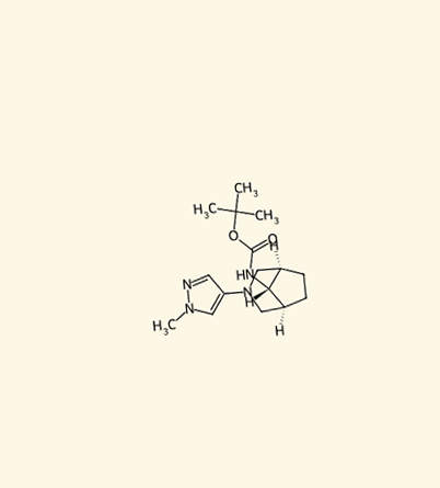 Cn1cc(N2C[C@H]3CC[C@@H](C2)[C@@H]3NC(=O)OC(C)(C)C)cn1